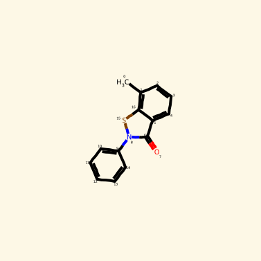 Cc1cccc2c(=O)n(-c3ccccc3)sc12